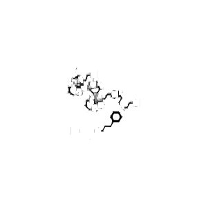 O=C(O)CCCc1ccc(N(CCCl)CCCl)cc1.O=P1(N(CCCl)CCCl)OCCCN1CCCl.O=P1(NCCCl)OCCCN1CCCl